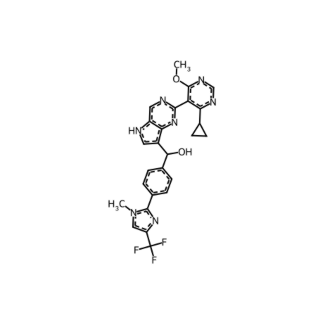 COc1ncnc(C2CC2)c1-c1ncc2[nH]cc(C(O)c3ccc(-c4nc(C(F)(F)F)cn4C)cc3)c2n1